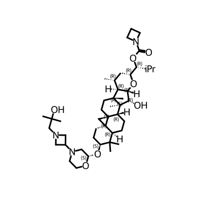 CC(C)[C@@H](OC(=O)N1CCC1)[C@H]1C[C@@H](C)[C@H]2[C@H](O1)[C@H](O)[C@@]1(C)[C@@H]3CC[C@H]4C(C)(C)[C@@H](O[C@H]5CN(C6CN(CC(C)(C)O)C6)CCO5)CC[C@@]45C[C@@]35CC[C@]21C